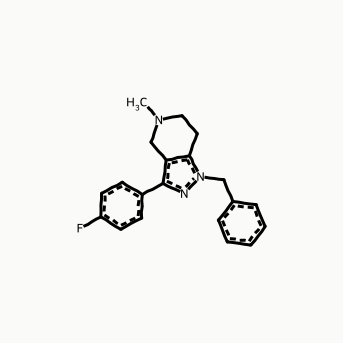 CN1CCc2c(c(-c3ccc(F)cc3)nn2Cc2ccccc2)C1